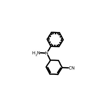 N#CC1=CC=CC(N(N)c2ccccc2)C1